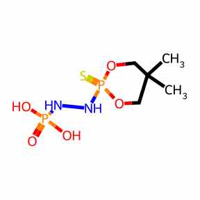 CC1(C)COP(=S)(NNP(=O)(O)O)OC1